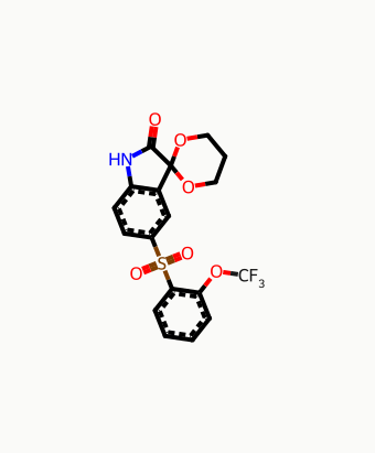 O=C1Nc2ccc(S(=O)(=O)c3ccccc3OC(F)(F)F)cc2C12OCCCO2